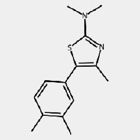 Cc1ccc(-c2sc(N(C)C)nc2C)cc1C